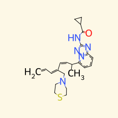 C=C/C=C(\C=C/C(C)c1cccc2nc(NC(=O)C3CC3)nn12)CN1CCSCC1